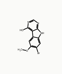 COc1cc2c(cc1Br)[nH]c1ncnc(O)c12